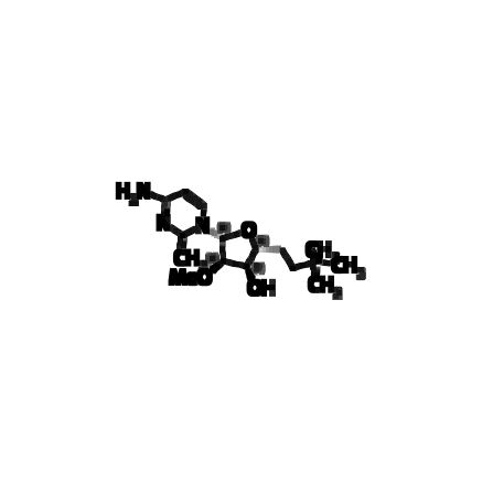 C=C1N=C(N)C=CN1[C@@H]1O[C@H](CCP(=C)(C)C)[C@@H](O)[C@H]1OC